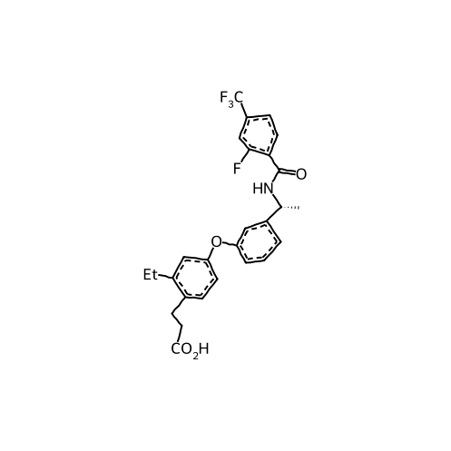 CCc1cc(Oc2cccc([C@@H](C)NC(=O)c3ccc(C(F)(F)F)cc3F)c2)ccc1CCC(=O)O